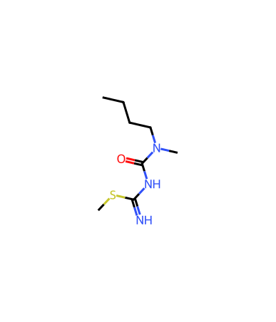 CCCCN(C)C(=O)NC(=N)SC